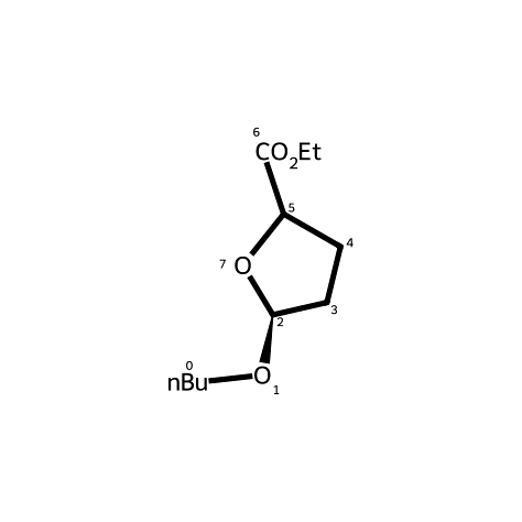 CCCCO[C@@H]1CCC(C(=O)OCC)O1